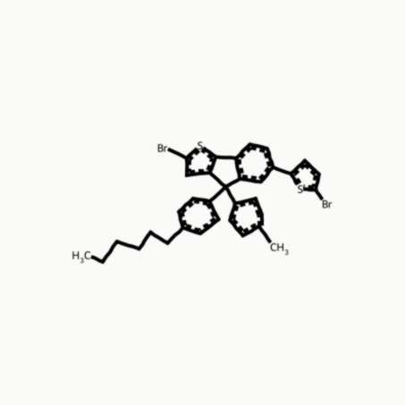 CCCCCCc1ccc(C2(c3ccc(C)cc3)c3cc(-c4ccc(Br)s4)ccc3-c3sc(Br)cc32)cc1